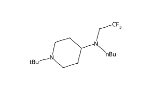 CCCCN(CC(F)(F)F)C1CCN(C(C)(C)C)CC1